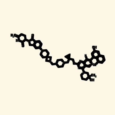 C=C1CCC(N2Cc3cc(N4CCC5(CC4)CN(CC4CCN(CC6(COc7nc(N8CCC[C@@](C)(O)C8)c8cnc(-c9cc(O)cc%10cccc(CC)c9%10)c(F)c8n7)CC6)CC4)C5)ccc3C2=O)C(=O)N1